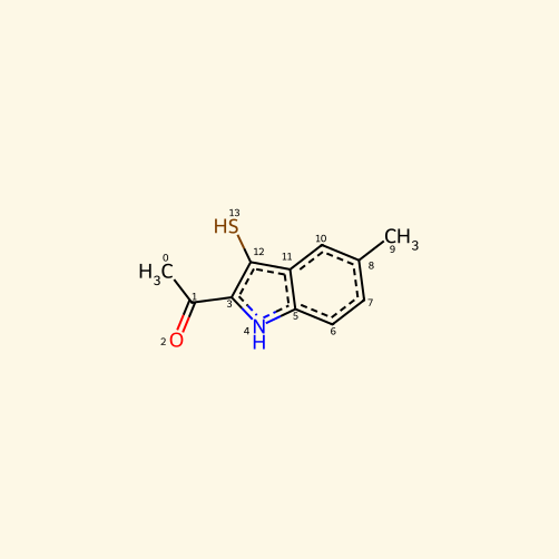 CC(=O)c1[nH]c2ccc(C)cc2c1S